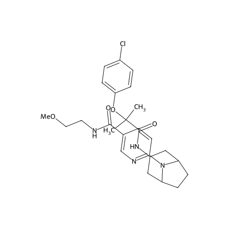 COCCNC(=O)c1ccc(N2C3CCC2CC(NC(=O)C(C)(C)Oc2ccc(Cl)cc2)C3)nc1